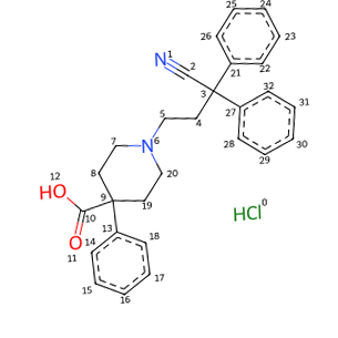 Cl.N#CC(CCN1CCC(C(=O)O)(c2ccccc2)CC1)(c1ccccc1)c1ccccc1